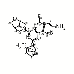 CC12CCC(CN1c1nc(-c3cnc(N)cc3C(F)F)nc(N3CC4COC(C4)C3)n1)OC2